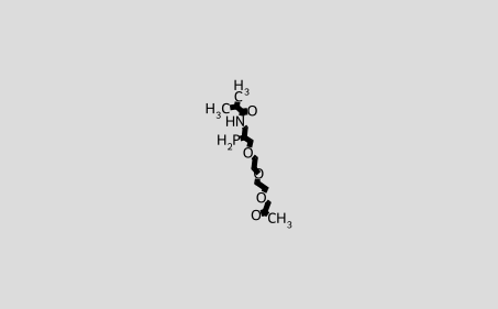 CC(=O)COCCOCCOCC(P)CNC(=O)C(C)C